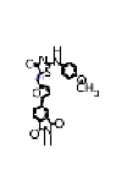 COc1ccc(NC2=NC(=O)/C(=C/c3ccc(-c4ccc5c(c4)C(=O)NC5=O)o3)S2)cc1